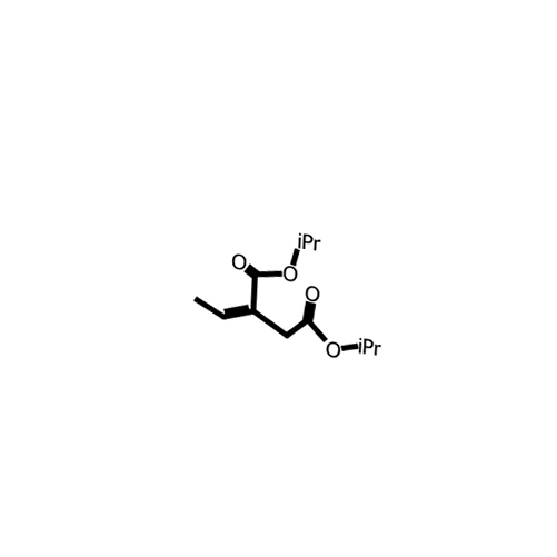 CC=C(CC(=O)OC(C)C)C(=O)OC(C)C